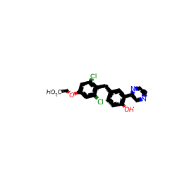 O=C(O)COc1cc(Cl)c(Cc2ccc(O)c(-c3cnccn3)c2)c(Cl)c1